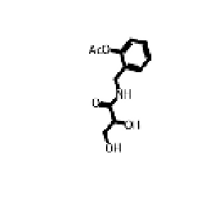 CC(=O)Oc1ccccc1CNC(=O)C(O)CO